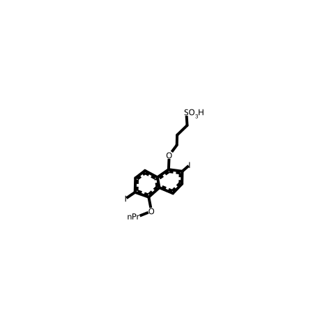 CCCOc1c(I)ccc2c(OCCCS(=O)(=O)O)c(I)ccc12